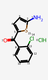 Cl.Nc1ccc(C(=O)c2ccccc2Cl)s1